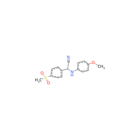 COc1ccc(NC(C#N)c2ccc(S(C)(=O)=O)cc2)cc1